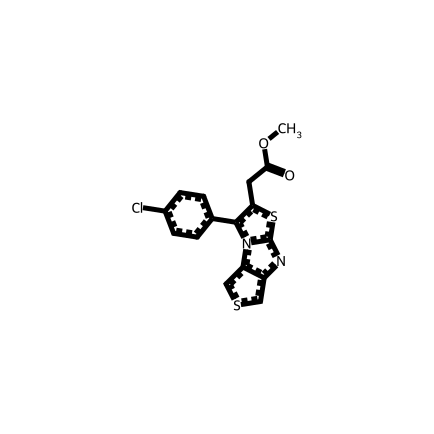 COC(=O)Cc1sc2nc3cscc3n2c1-c1ccc(Cl)cc1